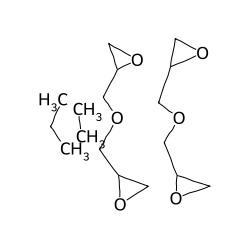 C(OCC1CO1)C1CO1.C(OCC1CO1)C1CO1.CC.CCC